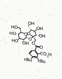 CCCCc1ccc(C(=O)OC[C@@]2(O[C@H]3O[C@H](CO)[C@@H](O)[C@H](O)[C@H]3O)O[C@H](CO)[C@@H](O)[C@@H]2O)c(C(=O)O)c1CCCC